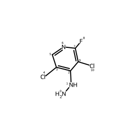 NNc1c(Cl)cnc(F)c1Cl